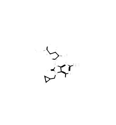 CC(=O)O[C@@H]1[C@@H](F)[C@@H]([C@@H](OC(C)=O)C(F)(F)F)O[C@H]1n1c(=O)n(CC2CC2)c2c(Cl)nc(N)nc21